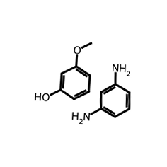 COc1cccc(O)c1.Nc1cccc(N)c1